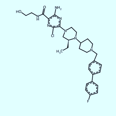 CC[C@H]1CN(c2nc(N)c(C(=O)NCCO)nc2Cl)CCN1C1CCN(Cc2ccc(-c3ccc(F)cc3)cc2)CC1